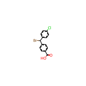 O=C(O)c1ccc(C(Br)c2ccc(Cl)cc2)cc1